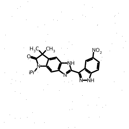 CC(C)N1C(=O)C(C)(C)c2cc3[nH]c(-c4n[nH]c5ccc([N+](=O)[O-])cc45)nc3cc21